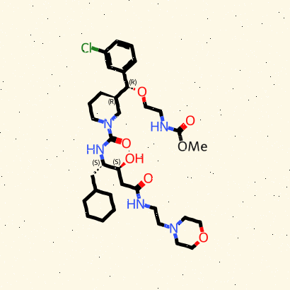 COC(=O)NCCO[C@@H](c1cccc(Cl)c1)[C@@H]1CCCN(C(=O)N[C@@H](CC2CCCCC2)[C@@H](O)CC(=O)NCCN2CCOCC2)C1